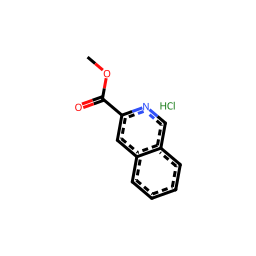 COC(=O)c1cc2ccccc2cn1.Cl